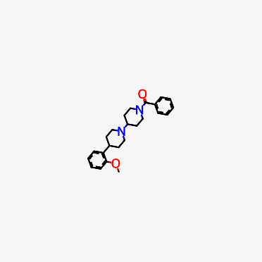 COc1ccccc1C1CCN(C2CCN(C(=O)c3ccccc3)CC2)CC1